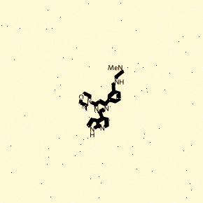 CNCCNCc1cccc(-c2cc(N3CCOC[C@@H]3C)nc(-c3ccnc4[nH]ccc34)n2)c1